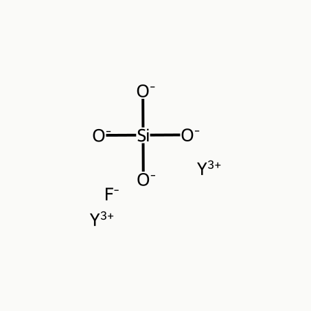 [F-].[O-][Si]([O-])([O-])[O-].[Y+3].[Y+3]